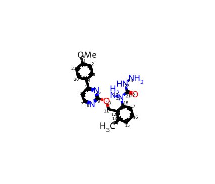 COc1ccc(-c2ccnc(OCc3c(C)cccc3N(N)C(=O)NN)n2)cc1